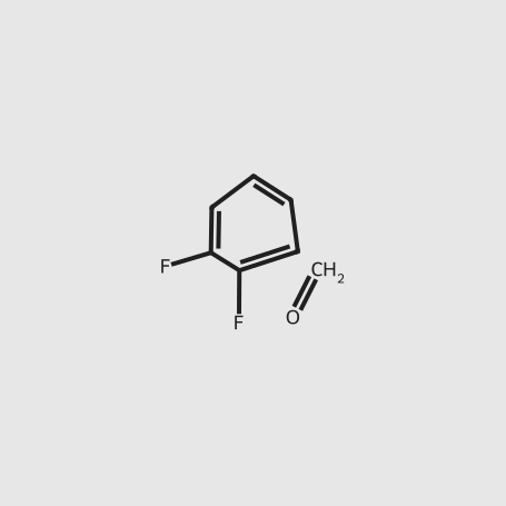 C=O.Fc1ccccc1F